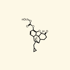 CCCCCCCCOC(=O)OC1=C2O[C@H]3C(=O)CCC4C5CC(C=C1)C2[C@]43CCN5CC1CC1